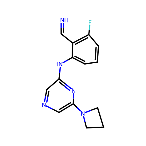 N=Cc1c(F)cccc1Nc1cncc(N2CCC2)n1